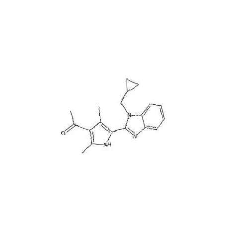 CC(=O)c1c(C)[nH]c(-c2nc3ccccc3n2CC2CC2)c1C